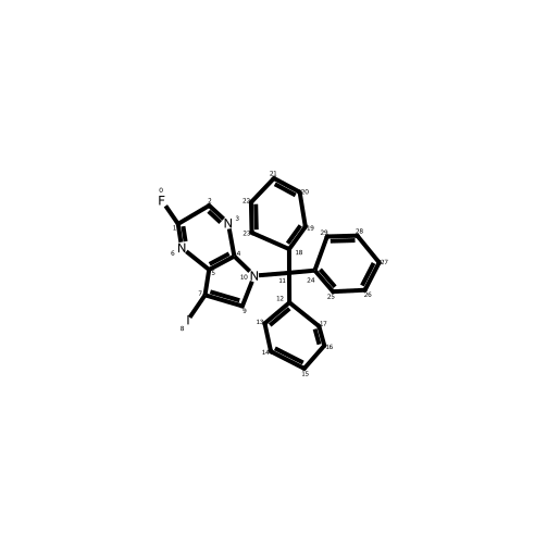 Fc1cnc2c(n1)c(I)cn2C(c1ccccc1)(c1ccccc1)c1ccccc1